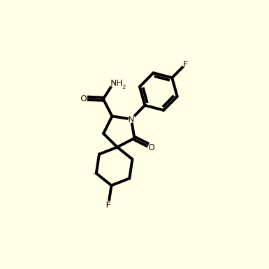 NC(=O)C1CC2(C[CH]C(F)CC2)C(=O)N1c1ccc(F)cc1